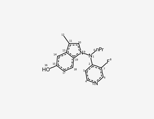 CCCN(c1ccncc1F)n1cc(C)c2cc(O)ccc21